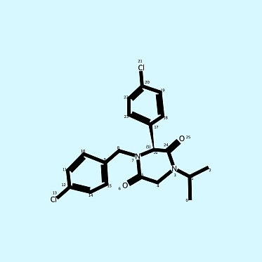 CC(C)N1CC(=O)N(Cc2ccc(Cl)cc2)[C@@H](c2ccc(Cl)cc2)C1=O